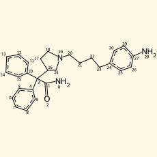 NC(=O)C(c1ccccc1)(c1ccccc1)C1CCN(CCCCc2ccc(N)cc2)C1